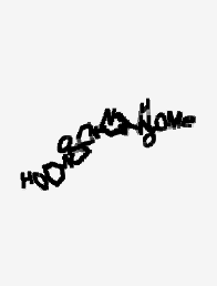 COC(=O)Nc1ccc(N2CCC[C@@]3(CCN([C@H]4CC[C@H](O)CC4)C3=O)C2)nc1